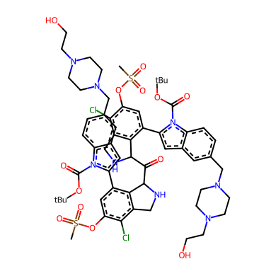 CC(C)(C)OC(=O)n1c(-c2cc(OS(C)(=O)=O)c(Cl)c3c2C(C(=O)C2NCc4c(Cl)c(OS(C)(=O)=O)cc(-c5cc6cc(CN7CCN(CCO)CC7)ccc6n5C(=O)OC(C)(C)C)c42)NC3)cc2cc(CN3CCN(CCO)CC3)ccc21